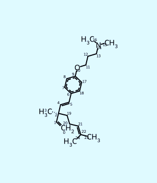 C=C[C@@](C)(/C=C/c1ccc(OCCCN(C)C)cc1)CCC=C(C)C